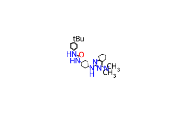 CN(C)c1nc(NC2CCC(NC(=O)Nc3ccc(C(C)(C)C)cc3)CC2)nc2c1CCCC2